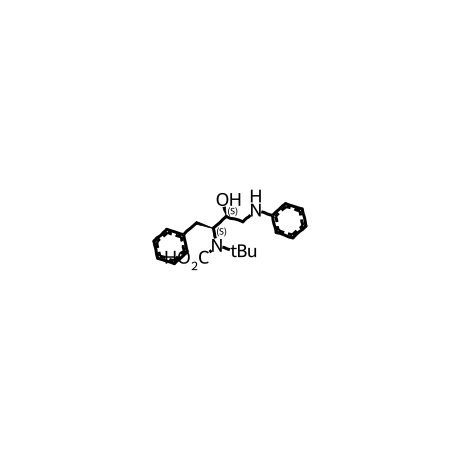 CC(C)(C)N(C(=O)O)[C@@H](Cc1ccccc1)[C@@H](O)CNc1ccccc1